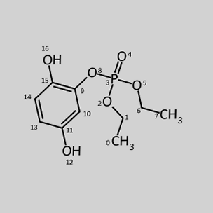 CCOP(=O)(OCC)Oc1cc(O)ccc1O